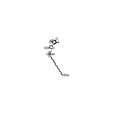 CCCCCCCCCCCCCCCCCCCCCCOP(=O)(O)OC[C@H]1O[C@@H](n2cc(F)c(=O)[nH]c2=O)C[C@@H]1O